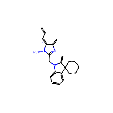 C=C/C=c1\c(=C)nc(CN2C(=C)C3(CCCCC3)c3ccccc32)n1N